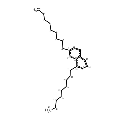 CCCCCCCCCc1ccc2cccc(CCCCCCCCC)c2c1